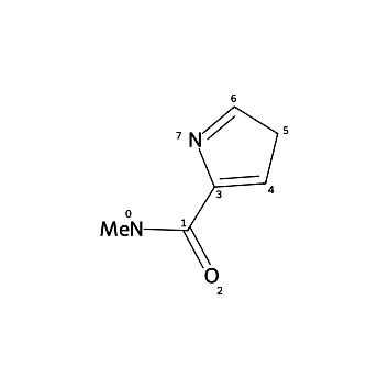 CNC(=O)C1=CCC=N1